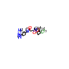 Cc1c(Cl)cccc1S(=O)(=O)N(C)C/C=C/C(=O)N(C)Cc1ccc(C2=NCCN2)cc1